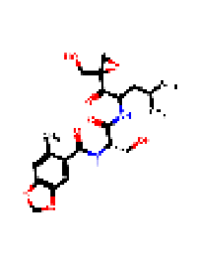 Cc1cc2c(cc1C(=O)N[C@@H](CO)C(=O)NC(CC(C)C)C(=O)C1(CO)CO1)OCO2